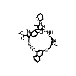 COC(=O)c1c2c3ccc(Cl)c(c3n1C)-c1c(nn(C3CCCCO3)c1C)CNCc1cc(n(C)n1)CSc1cc(c3ccccc3c1)OCCC2